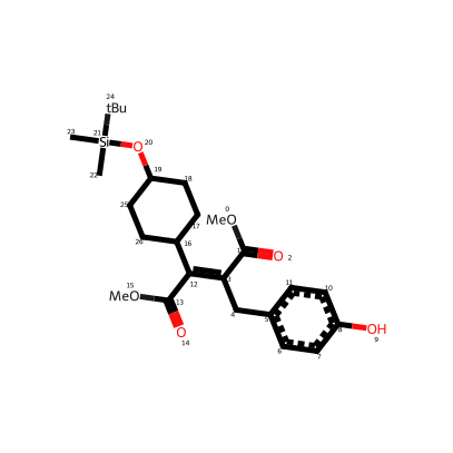 COC(=O)C(Cc1ccc(O)cc1)=C(C(=O)OC)C1CCC(O[Si](C)(C)C(C)(C)C)CC1